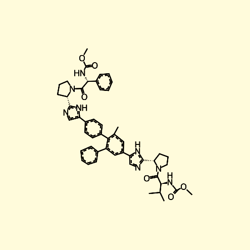 COC(=O)N[C@H](C(=O)N1CCC[C@H]1c1ncc(-c2cc(C)c(-c3ccc(-c4cnc([C@@H]5CCCN5C(=O)[C@H](NC(=O)OC)c5ccccc5)[nH]4)cc3)c(-c3ccccc3)c2)[nH]1)C(C)C